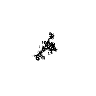 O=C(CCCCCN1C(=O)C=CC1=O)NCCC(=O)Nc1cc(C=CC(=O)N2C[C@@H](CCl)c3c2cc(O)c2ccccc32)ccc1C=CC(=O)N1CC(CCl)c2c1cc(OP(=O)(O)O)c1ccccc21